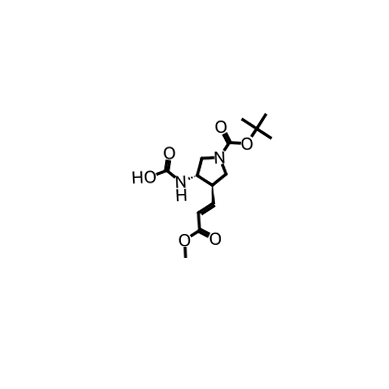 COC(=O)/C=C/[C@@H]1CN(C(=O)OC(C)(C)C)C[C@H]1NC(=O)O